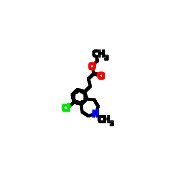 CCOC(=O)CCc1ccc(Cl)c2c1CCN(C)CC2